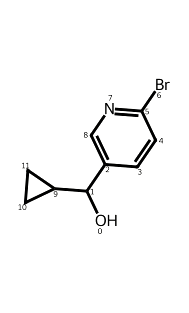 OC(c1ccc(Br)nc1)C1CC1